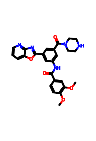 COc1ccc(C(=O)Nc2cc(C(=O)N3CCNCC3)cc(-c3nc4ncccc4o3)c2)cc1OC